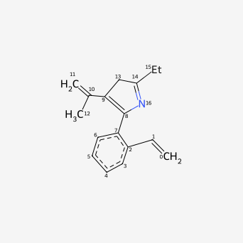 C=Cc1ccccc1C1=C(C(=C)C)CC(CC)=N1